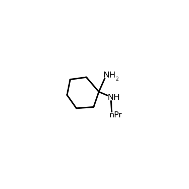 CCCNC1(N)CCCCC1